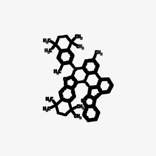 Cc1cc2c3c(c1)N(c1cc4c(cc1C)C(C)(C)CCC4(C)C)c1oc4cc5c(cc4c1B3n1c3oc4ccccc4c3c3cccc-2c31)C(C)(C)CCC5(C)C